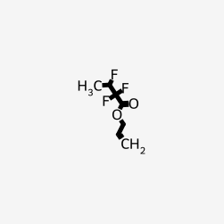 C=CCOC(=O)C(F)(F)C(C)F